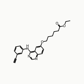 C#Cc1cccc(Nc2ncnc3ccc(OCCCCCC(=O)OCC)cc23)c1